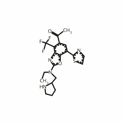 CCN(CC1CCCN1)c1nc2c(C(F)(F)F)c(C(C)=O)cc(-c3nccs3)c2o1